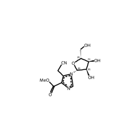 COC(=O)c1ncn([C@@H]2O[C@H](CO)[C@@H](O)[C@H]2O)c1CC#N